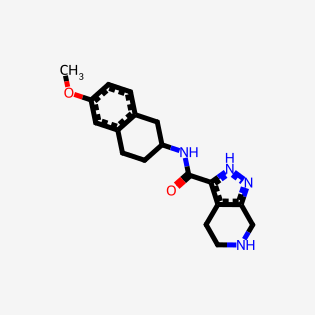 COc1ccc2c(c1)CCC(NC(=O)c1[nH]nc3c1CCNC3)C2